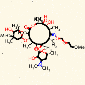 COCCOCO/N=C1\[C@H](C)C[C@@](C)(O)[C@H](O[C@@H]2O[C@H](C)CC(N(C)C)C2O)[C@@H](C)[C@H](O[C@H]2CC(C)(OC)[C@@H](O)[C@@H](C)O2)[C@@H](C)C(=O)O[C@H](C)[C@@](C)(O)[C@H](O)[C@H]1C